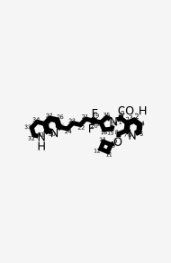 O=C(O)C(c1cccnc1COC1CCC1)N1CCC(C(F)(F)CCCCc2ccc3c(n2)NCCC3)C1